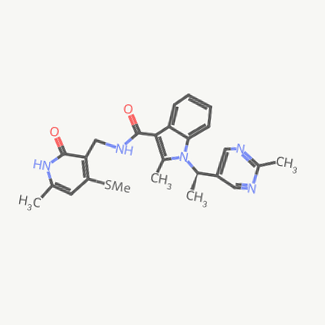 CSc1cc(C)[nH]c(=O)c1CNC(=O)c1c(C)n([C@H](C)c2cnc(C)nc2)c2ccccc12